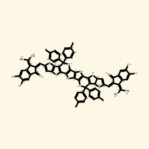 Cc1ccc(C2(c3ccc(C)cc3)Oc3c(sc4c5c(sc34)-c3sc4cc(/C=C6\C(=O)c7cc(F)c(F)cc7C6=C(C#N)C#N)sc4c3C(c3ccc(C)cc3)(c3ccc(C)cc3)O5)C3=C2C2SC(/C=C4\C(=O)c5cc(F)c(F)cc5C4=C(C#N)C#N)=CC2S3)cc1